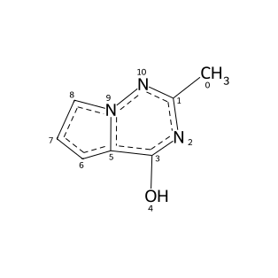 Cc1nc(O)c2cccn2n1